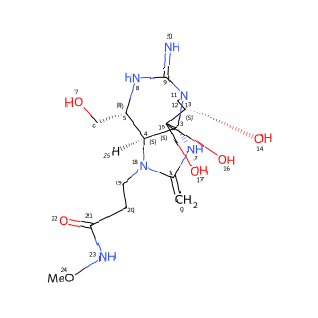 C=C1N[C@@]23[C@H]([C@H](CO)NC(=N)N2C[C@H](O)C3(O)O)N1CCC(=O)NOC